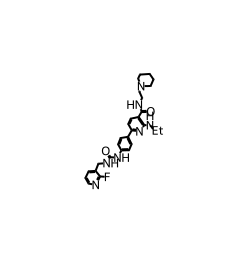 CCNc1nc(-c2ccc(NC(=O)NCc3cccnc3F)cc2)ccc1C(=O)NCCN1CCCCC1